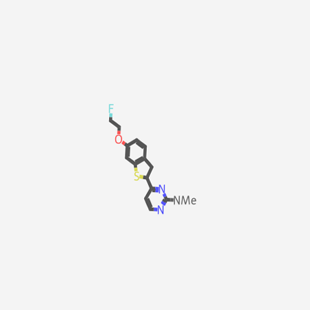 CNc1nccc(C2Cc3ccc(OCCF)cc3S2)n1